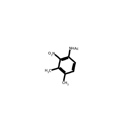 CC(=O)Nc1ccc(C)c(C)c1[N+](=O)[O-]